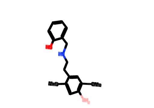 Bc1cc(OC)c(CCNCc2ccccc2O)cc1OC